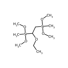 CCOC(C[Si](C)(OC)OC)[Si](C)(OC)OC